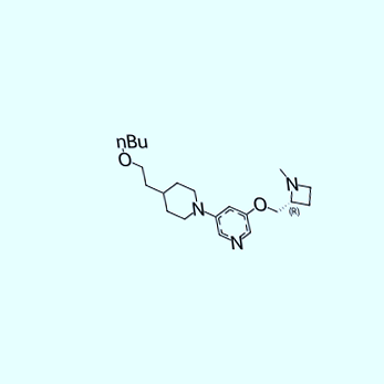 CCCCOCCC1CCN(c2cncc(OC[C@H]3CCN3C)c2)CC1